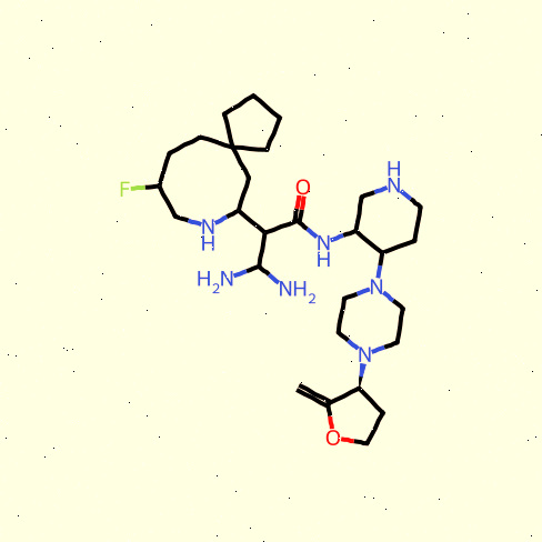 C=C1OCC[C@@H]1N1CCN(C2CCNCC2NC(=O)C(C(N)N)C2CC3(CCCC3)CCC(F)CN2)CC1